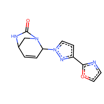 O=C1NC2C=CC(n3ccc(-c4ncco4)n3)N1C2